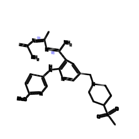 C=C(N)/N=C(C)\N=C(/N)c1cc(CN2CCC(S(C)(=O)=O)CC2)cnc1Nc1ccc(OC)nc1